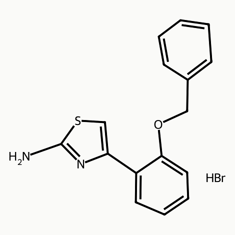 Br.Nc1nc(-c2ccccc2OCc2ccccc2)cs1